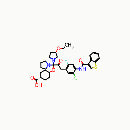 CCO[C@@H]1CCN(C(O[C@H]2CC[C@H](C(=O)O)CC2)(C(=O)Cc2cc(Cl)c(NC(=O)c3csc4ccccc34)cc2F)N2CCCC2)C1